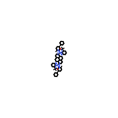 Cc1ccc(-c2ccccc2)cc1N(c1ccccc1C(C)(C)C)c1ccc2ccc3c(N(c4cc(-c5ccccc5)ccc4C)c4ccccc4C(C)(C)C)ccc4ccc1c2c43